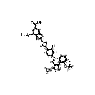 COc1cc(C(=O)O)cc2sc(N3CC(c4ccc(OCc5c(-c6ccccc6OC(F)(F)F)noc5C5CC5)cc4Cl)C3)nc12